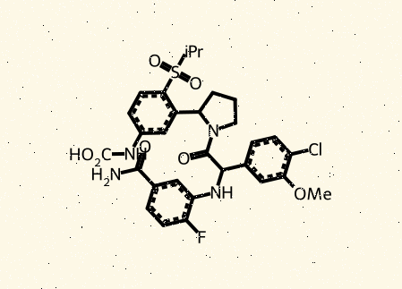 COc1cc(C(Nc2cc(C(N)=O)ccc2F)C(=O)N2CCCC2c2cc(NC(=O)O)ccc2S(=O)(=O)C(C)C)ccc1Cl